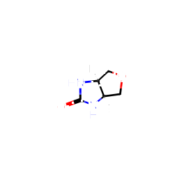 O=C1N[C@H]2COC[C@H]2N1